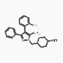 CCCC1CCC(Cn2nc(-c3ccccc3)c(-c3ccccc3C)c2C)CC1